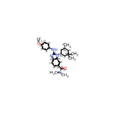 C[C@@H]1C[C@H](n2c(Nc3ccc(OC(F)(F)F)cc3)nc3ccc(C(=O)N(C)C)cc32)CC(C)(C)C1